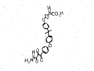 CC(C)(c1ccc(Oc2ccc(C(=O)C(=O)C(=O)NN)cc2)cc1)c1ccc(O[C@H]2C[C@H](NC(=O)O)C2)cc1